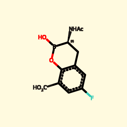 CC(=O)N[C@H]1Cc2cc(F)cc(C(=O)O)c2OB1O